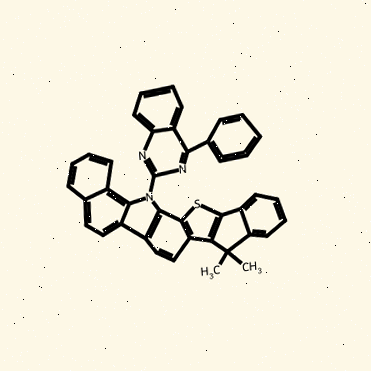 CC1(C)c2ccccc2-c2sc3c(ccc4c5ccc6ccccc6c5n(-c5nc(C6=C=C=CC=C6)c6ccccc6n5)c43)c21